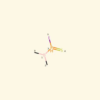 CB(C)[PH](=S)I